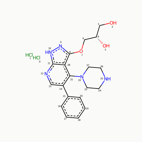 Cl.Cl.OC[C@H](O)COc1n[nH]c2ncc(-c3ccccc3)c(N3CCNCC3)c12